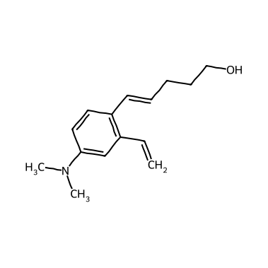 C=Cc1cc(N(C)C)ccc1C=CCCCO